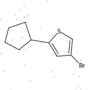 Brc1csc(C2CCCC2)c1